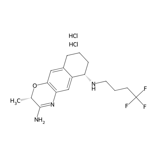 C[C@@H]1Oc2cc3c(cc2N=C1N)[C@@H](NCCCC(F)(F)F)CCC3.Cl.Cl